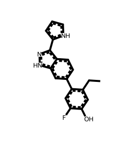 CCc1cc(O)c(F)cc1-c1ccc2c(-c3ccc[nH]3)n[nH]c2c1